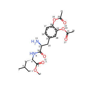 COC(=O)[C@H](CC(C)C)NC(=O)[C@@H](N)Cc1ccc(OC(C)=O)c(OC(C)=O)c1